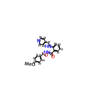 COc1ccc(CONC(=O)c2ccccc2NCc2ccncc2)cc1